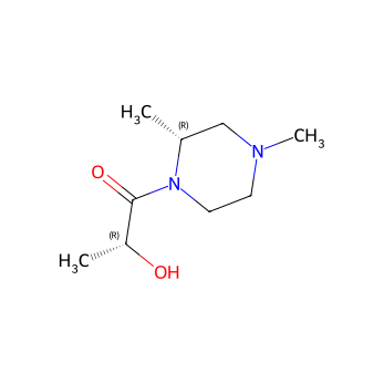 C[C@@H]1CN(C)CCN1C(=O)[C@@H](C)O